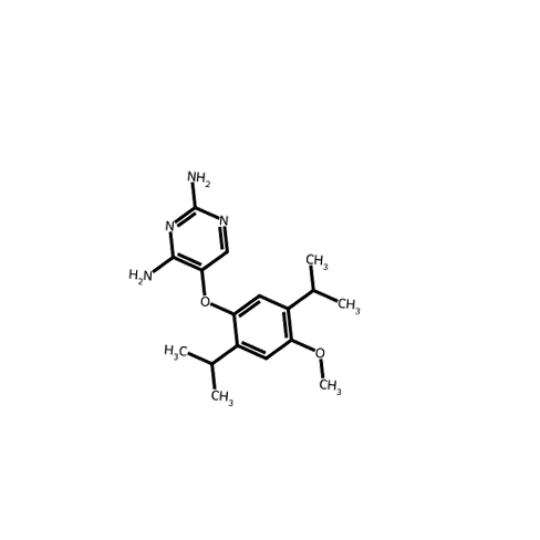 COc1cc(C(C)C)c(Oc2cnc(N)nc2N)cc1C(C)C